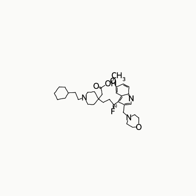 COc1ccc2ncc(CN3CCOCC3)c([C@@H](F)CCC3(CC(=O)O)CCN(CCC4CCCCC4)CC3)c2c1